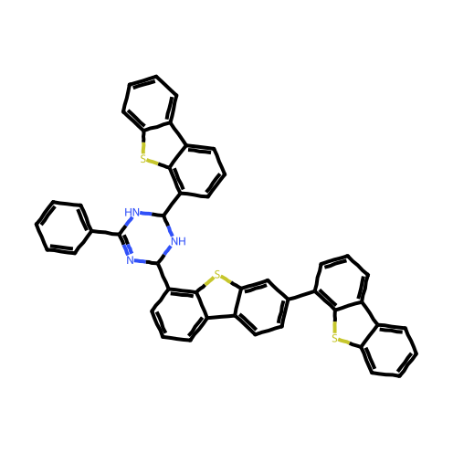 c1ccc(C2=NC(c3cccc4c3sc3cc(-c5cccc6c5sc5ccccc56)ccc34)NC(c3cccc4c3sc3ccccc34)N2)cc1